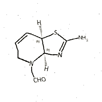 NC1=N[C@@H]2[C@@H](C=CCN2C=O)S1